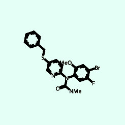 CNC(=O)N(c1ccc(SCc2ccccc2)cn1)c1cc(F)c(Br)cc1OC